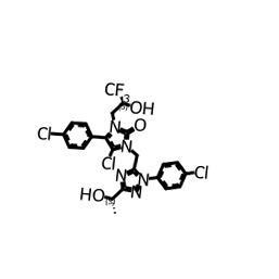 C[C@H](O)c1nc(Cn2c(Cl)c(-c3ccc(Cl)cc3)n(C[C@H](O)C(F)(F)F)c2=O)n(-c2ccc(Cl)cc2)n1